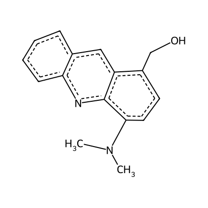 CN(C)c1ccc(CO)c2cc3ccccc3nc12